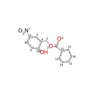 O=C(OCc1cc([N+](=O)[O-])ccc1O)c1ccccc1